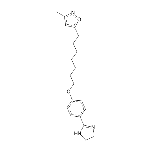 Cc1cc(CCCCCCCOc2ccc(C3=NCCN3)cc2)on1